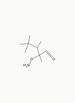 CC(C(C)(C)C)C(C)(C=O)O[SiH3]